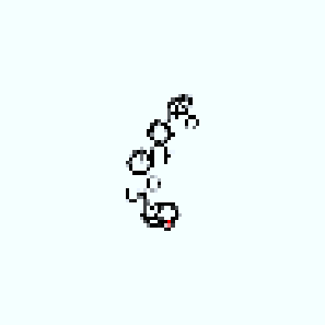 O=C1OCCN1c1ccc(N2CCCC(OC(=O)N3C4CC5CC3CC(C4)O5)C2)c(F)c1